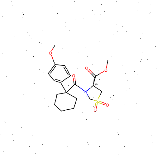 COC(=O)[C@H]1CS(=O)(=O)CN1C(=O)C1(c2ccc(OC)cc2)CCCCC1